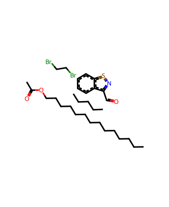 BrCCBr.CCCCC.CCCCCCCCCCCCCCOC(C)=O.O=Cc1nsc2ccccc12